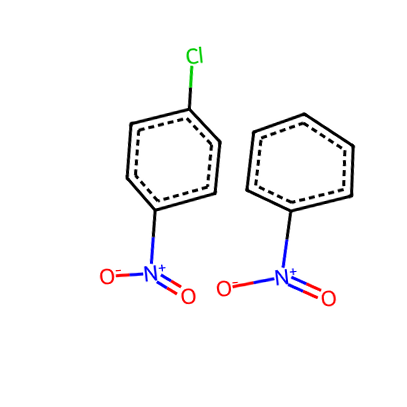 O=[N+]([O-])c1ccc(Cl)cc1.O=[N+]([O-])c1ccccc1